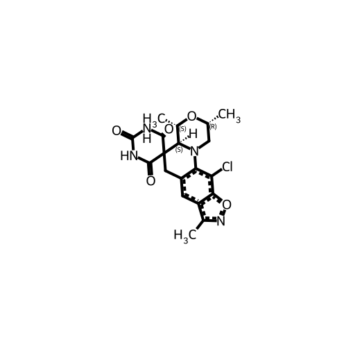 Cc1noc2c(Cl)c3c(cc12)CC1(C(=O)NC(=O)NC1=O)[C@H]1[C@H](C)O[C@H](C)CN31